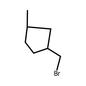 CC1CCC(CBr)C1